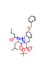 CCCC(=O)NC(CC(C)C)C(=O)NC(Cc1ccc(OCc2ccccc2)cc1)C(=O)OC(C)(C)C